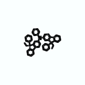 CCC1(c2ccccc2)c2ccccc2-c2ccc(N(c3ccccc3)c3ccc4c(c3)C(CC)(c3ccccc3)c3ccccc3-4)cc21